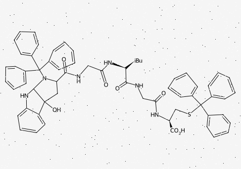 CC[C@H](C)[C@H](NC(=O)CNC(=O)C1CC2(O)c3ccccc3NC2N1C(c1ccccc1)(c1ccccc1)c1ccccc1)C(=O)NCC(=O)N[C@@H](CSC(c1ccccc1)(c1ccccc1)c1ccccc1)C(=O)O